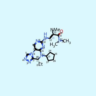 CC[C@@H]1c2nncn2-c2cnc(N/C=C(\NC)C(=O)N(C)C)nc2N1C1CCCC1